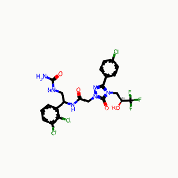 NC(=O)NCC(NC(=O)Cn1nc(-c2ccc(Cl)cc2)n(C[C@H](O)C(F)(F)F)c1=O)c1cccc(Cl)c1Cl